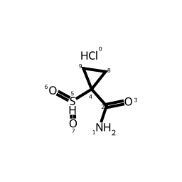 Cl.NC(=O)C1([SH](=O)=O)CC1